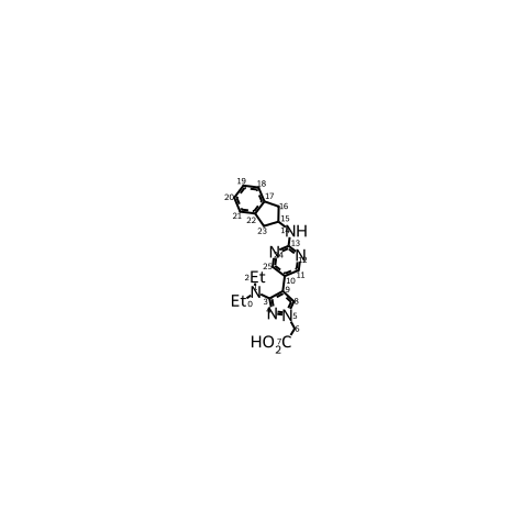 CCN(CC)c1nn(CC(=O)O)cc1-c1cnc(NC2Cc3ccccc3C2)nc1